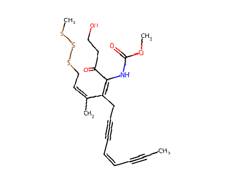 CC#C/C=C\C#CCC(/C(C)=C\CSSSC)=C(\NC(=O)OC)C(=O)CCO